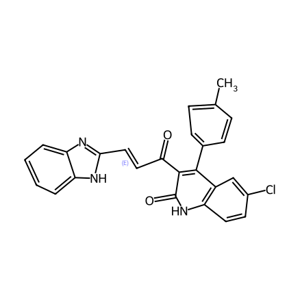 Cc1ccc(-c2c(C(=O)/C=C/c3nc4ccccc4[nH]3)c(=O)[nH]c3ccc(Cl)cc23)cc1